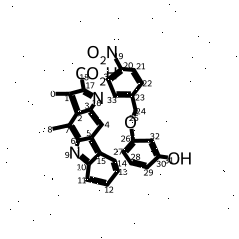 CC1=c2c(cc3c(c2C)N=c2ccccc2=3)N=C1C(=O)O.O=[N+]([O-])c1ccc(COc2cccc(O)c2)cc1